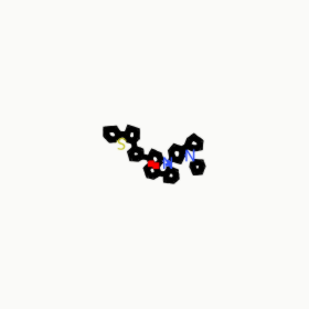 c1ccc(-c2ccccc2N(c2ccc(-c3cccc(-c4cccc5c4sc4ccccc45)c3)cc2)c2ccc3c4ccccc4n(-c4ccccc4)c3c2)cc1